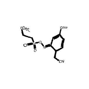 CCCCCCCCCCCCS(=O)(=O)ON=C1C=C(OC)C=CC1CC#N